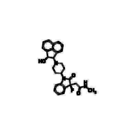 CNC(=O)C[C@@]1(F)C(=O)N(C2CCN(C3c4cccc5cccc(c45)[C@@H]3O)CC2)c2ccccc21